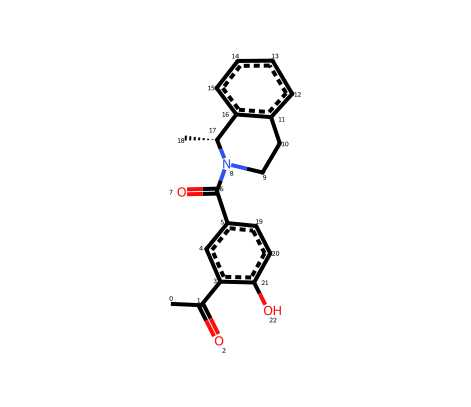 CC(=O)c1cc(C(=O)N2CCc3ccccc3[C@H]2C)ccc1O